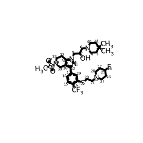 CC1(C)CCN(CC(O)Cn2nc(-c3ccc(C(F)(F)F)c(SCCN4CCC(F)CC4)c3)c3c2CCN(S(C)(=O)=O)C3)CC1